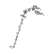 NCCOCCOCCOCCOCCOCCOCCOCCOCCC(=O)NCCS(=O)(=O)N1CCc2cc(Cn3nc(-c4ccc5oc(N)nc5c4)c4c(N)ncnc43)ccc2C1